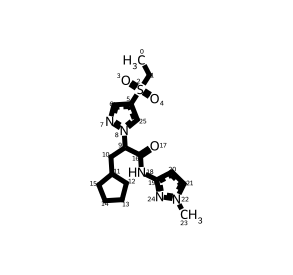 CCS(=O)(=O)c1cnn(C(CC2CCCC2)C(=O)Nc2ccn(C)n2)c1